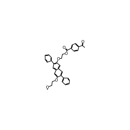 COCCOc1cc2cc(-c3ccccc3)c(OCCOC(=O)c3ccc(C(C)=O)cc3)cc2cc1-c1ccccc1